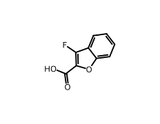 O=C(O)c1oc2ccccc2c1F